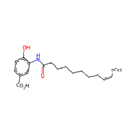 CCCCCCCC/C=C\CCCCCCCC(=O)Nc1cc(C(=O)O)ccc1O